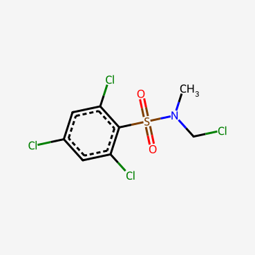 CN(CCl)S(=O)(=O)c1c(Cl)cc(Cl)cc1Cl